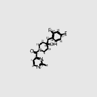 Cc1nccc(C(=O)N2CCC(O)(Cc3ccc(F)cc3F)CC2)n1